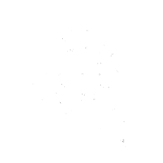 Cc1nnc(S(=O)(=O)C2(c3cc(N4CCOC[C@@H]4C)nc(-c4ccc(N)cc4)n3)CC2)s1